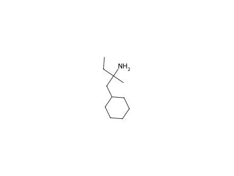 CCC(C)(N)CC1CCCCC1